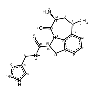 CN1C[C@H](N)C(=O)N2c3c(cccc31)C[C@H]2C(=O)NCc1c[nH]nn1